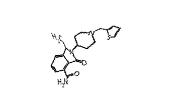 CC1c2cccc(C(N)=O)c2C(=O)N1C1CCN(Cc2cccs2)CC1